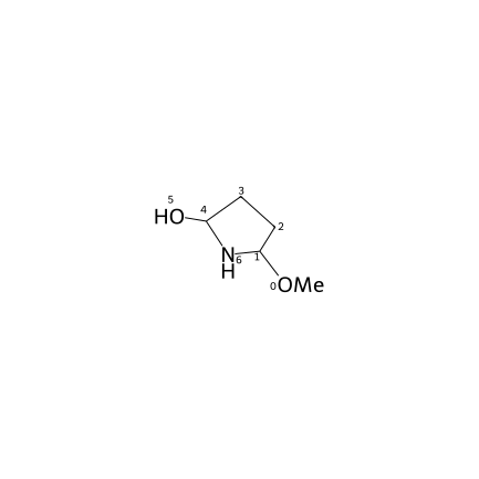 COC1CCC(O)N1